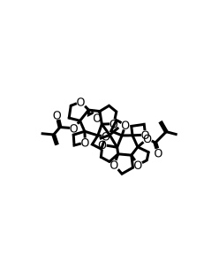 C=C(C)C(=O)OC12CCOC13CCOC31CCOC1(C(C)(C)C13OCCC14OCCC41OCCC1(OC(=O)C(=C)C)C1(CCO1)C31CCO1)C1(CCO1)C21CCO1